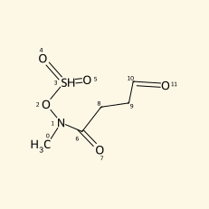 CN(O[SH](=O)=O)C(=O)CCC=O